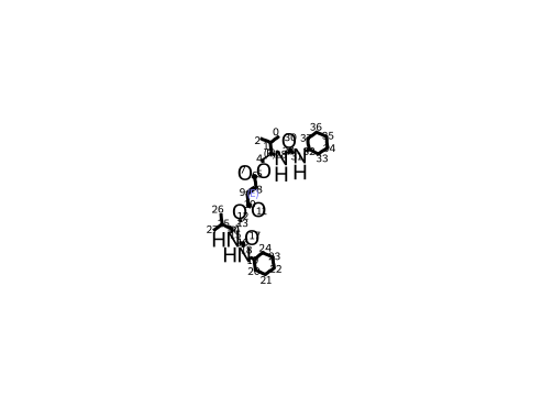 CC(C)[C@H](COC(=O)/C=C/C(=O)OC[C@H](NC(=O)NC1CCCCC1)C(C)C)NC(=O)NC1CCCCC1